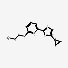 NCCNc1cccc(-c2ncc(C3CC3)[nH]2)n1